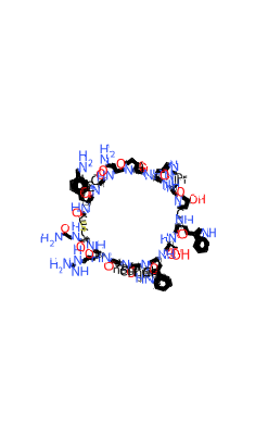 CCCC[C@H]1C(=O)N(C)[C@@H](CCCC)C(=O)N[C@@H](CCCNC(=N)N)C(=O)N[C@H](C(=O)NCC(N)=O)CSCC(=O)N[C@@H](Cc2ccc(CN)cc2)C(=O)N(C)[C@@H](C)C(=O)NC(CC(N)=O)C(=O)N2CCC[C@H]2C(=O)N[C@@H](Cc2cnc[nH]2)C(=O)N[C@@H](CC(C)C)C(=O)N2C[C@H](O)CC2CN[C@@H](CCc2c[nH]c3ccccc23)C(=O)N[C@@H](CO)C(=O)N[C@@H](Cc2c[nH]c3ccccc23)C(=O)N1C